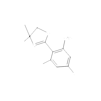 COc1cc(Cl)cc(Cl)c1C1=NC(C)(C)CO1